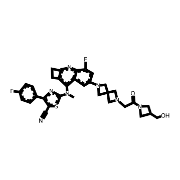 CN(c1nc(-c2ccc(F)cc2)c(C#N)s1)c1c2c(nc3c(F)cc(N4CC5(CN(CC(=O)N6CC(CO)C6)C5)C4)cc13)CC2